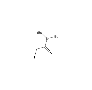 CCN(C(=S)CI)C(C)(C)C